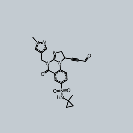 Cn1cc(CN2C(=O)c3cc(S(=O)(=O)NC4(C)CC4)ccc3N3C2=NCC3C#CC=O)cn1